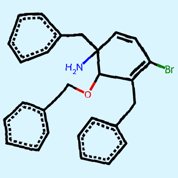 NC1(Cc2ccccc2)C=CC(Br)=C(Cc2ccccc2)C1OCc1ccccc1